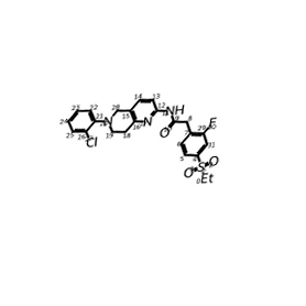 CCS(=O)(=O)c1ccc(CC(=O)Nc2ccc3c(n2)CCN(c2ccccc2Cl)C3)c(F)c1